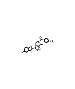 Cc1ccc2nc(-c3nnc4n3CCN(C(=O)c3ccc(Cl)cc3)C4C)sc2c1